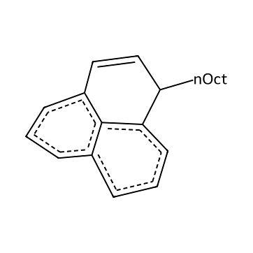 CCCCCCCCC1C=Cc2cccc3cccc1c23